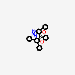 c1ccc(-c2cc(-c3ccccc3)c3c4c2Oc2ccccc2B4c2c4oc5ccccc5c4cc4nnn-3c24)cc1